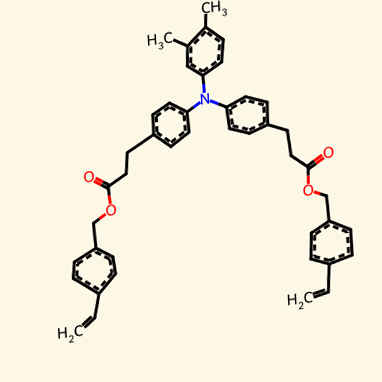 C=Cc1ccc(COC(=O)CCc2ccc(N(c3ccc(CCC(=O)OCc4ccc(C=C)cc4)cc3)c3ccc(C)c(C)c3)cc2)cc1